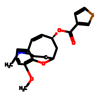 COc1ccc2c3c1OC(CCCN2C)C[C@@H](OC(=O)c1ccsc1)/C=C\3